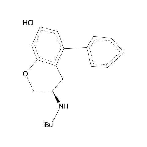 CCC(C)N[C@H]1COc2cccc(-c3ccccc3)c2C1.Cl